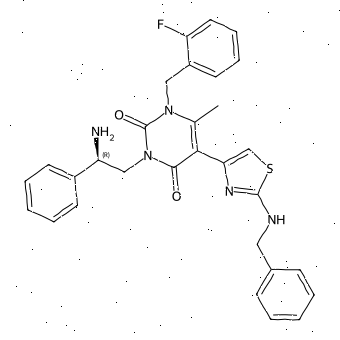 Cc1c(-c2csc(NCc3ccccc3)n2)c(=O)n(C[C@H](N)c2ccccc2)c(=O)n1Cc1ccccc1F